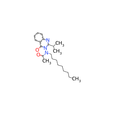 CCCCCCCCCN(C(C)=O)n1c(C(C)C)nc2ccccc2c1=O